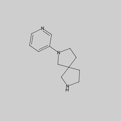 c1cncc(N2CCC3(CCNC3)C2)c1